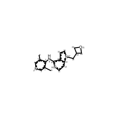 Cc1cncc(C)c1Nc1nccc2c1ccn2CC1COC1